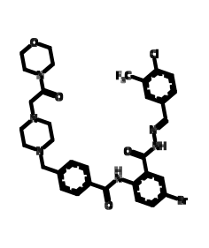 O=C(Nc1ccc(Br)cc1C(=O)N/N=C/c1ccc(Cl)c(C(F)(F)F)c1)c1ccc(CN2CCN(CC(=O)N3CCOCC3)CC2)cc1